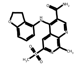 Cc1nc(S(C)(=O)=O)cc2c(Nc3cccc4c3CCO4)c(C(N)=O)cnc12